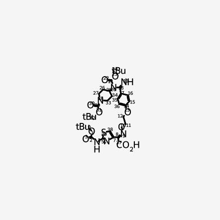 CC(C)(C)OC(=O)Nc1nc(C(=NOCCOc2ccc(C(=N)N(C(=O)OC(C)(C)C)C3CCN(C(=O)OC(C)(C)C)CC3)cc2)C(=O)O)cs1